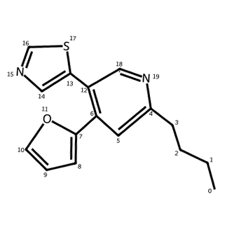 CCCCc1cc(-c2ccco2)c(-c2cncs2)[c]n1